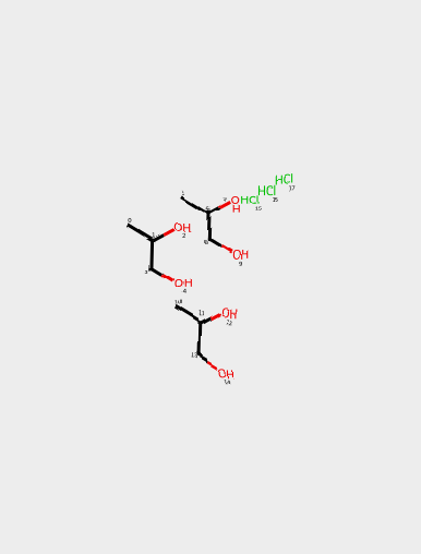 CC(O)CO.CC(O)CO.CC(O)CO.Cl.Cl.Cl